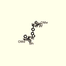 CCC[C@H]1C[C@@H](c2nc3ccc4cc(-c5ccc(-c6cnc([C@@H]7CCCN7C(=O)[C@@H](NC(=O)OC)C(C)C)[nH]6)cc5)ccc4c3[nH]2)N(C(=O)[C@H](NC(=O)OC)c2ccccc2)C1